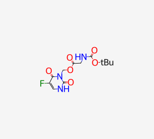 CC(C)(C)OC(=O)NCC(=O)OCn1c(=O)[nH]cc(F)c1=O